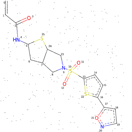 C=CC(=O)NC1CC2CN(S(=O)(=O)c3ccc(-c4ccno4)s3)CC2S1